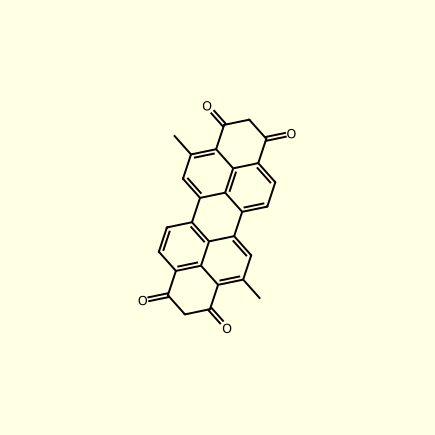 Cc1cc2c3ccc4c5c(c(C)cc(c6ccc7c(c1C(=O)CC7=O)c62)c53)C(=O)CC4=O